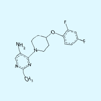 Cc1ncc(N)c(N2CCC(Oc3ccc(F)cc3F)CC2)n1